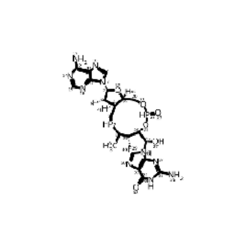 CC1PC[C@H]2[C@H](F)[C@H](n3cnc4c(N)ncnc43)O[C@@H]2CO[PH](=O)O[C@@H]([C@@H](O)n2cnc3c(=O)[nH]c(N)nc32)[C@@H]1F